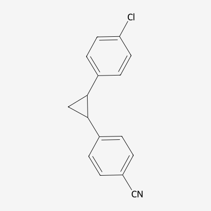 N#Cc1ccc(C2CC2c2ccc(Cl)cc2)cc1